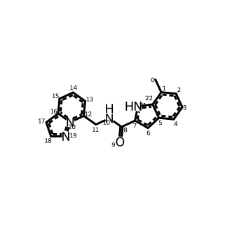 Cc1cccc2cc(C(=O)NCc3cccc4ccnn34)[nH]c12